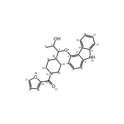 CC(O)C(Oc1cccc2[nH]c3ccccc3c12)N1CCN(C(=O)c2ccco2)CC1